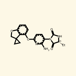 CC[C@H]1NC(=O)N(c2ccc(Oc3cccc4c3C3(CC3)CO4)nc2N)C1=O